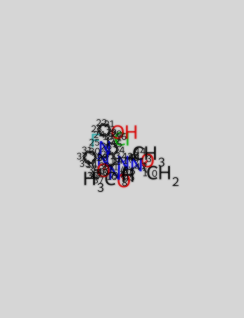 C=CC(=O)N1C[C@@H]2C(=O)N(C)c3c(c4cc(Cl)c(-c5c(O)cccc5F)nc4n(-c4ccccc4C4CCC4)c3=O)N2C[C@H]1C